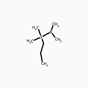 CCCS(C)(C)B(C)C